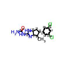 C[C@@H]1C2N=C(NC(N)=O)NC2C[C@@H]1c1cc(Cl)cc(Cl)c1